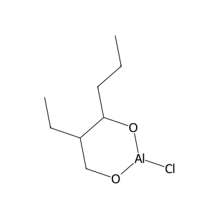 CCCC1[O][Al]([Cl])[O]CC1CC